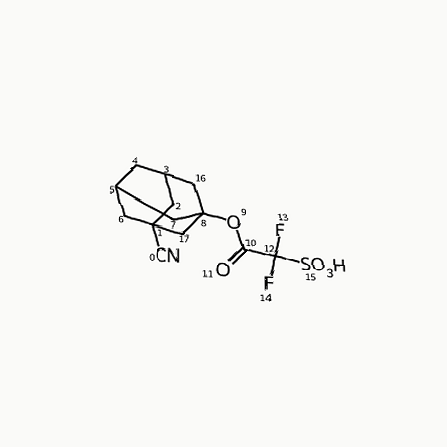 N#CC12CC3CC(C1)CC(OC(=O)C(F)(F)S(=O)(=O)O)(C3)C2